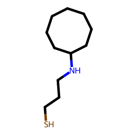 SCCCNC1CCCCCCC1